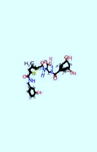 Cc1cc(C(=O)NCc2cccc(O)c2)sc1C(=O)NC(CNC(=O)c1cc(O)cc(O)c1)C(=O)O